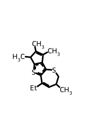 CCC1=CC(C)CSc2c1sc1c2C(C)=C(C)C1C